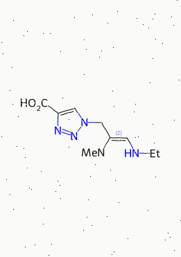 CCN/C=C(/Cn1cc(C(=O)O)nn1)NC